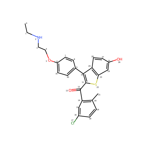 CCNCCOc1ccc(-c2c(C(=O)c3cc(Cl)ccc3C)sc3cc(O)ccc23)cc1